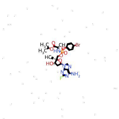 C#C[C@]1(COP(=O)(N[C@@H](C)C(=O)OC(C)C)Oc2ccc(Br)cc2)O[C@@H](n2cnc3c(N)nc(F)nc32)C[C@@H]1O